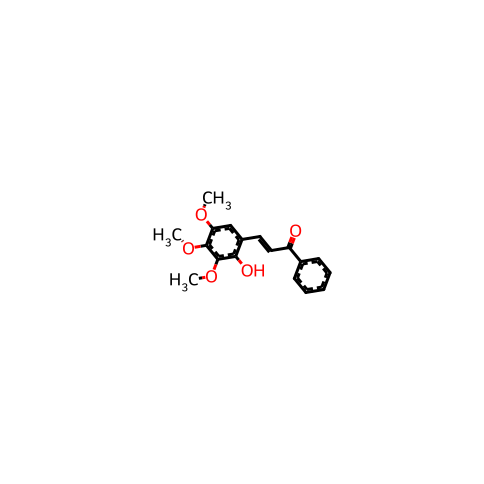 COc1cc(/C=C/C(=O)c2ccccc2)c(O)c(OC)c1OC